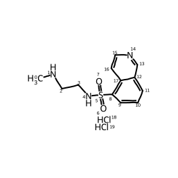 CNCCNS(=O)(=O)c1cccc2cnccc12.Cl.Cl